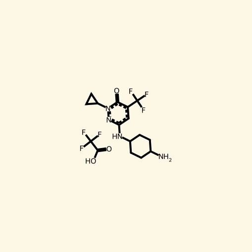 NC1CCC(Nc2cc(C(F)(F)F)c(=O)n(C3CC3)n2)CC1.O=C(O)C(F)(F)F